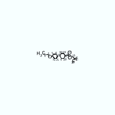 CCCOc1ccc([C@H]2CC[C@H](C(=O)OCC(F)F)CC2)cc1